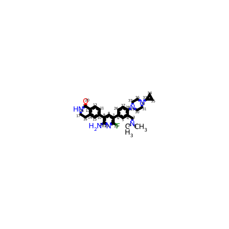 CN(C)Cc1cc(-c2cc(-c3ccc4c(c3)CCNC4=O)c(N)nc2F)ccc1N1CCN(C2CC2)CC1